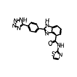 O=C(Nc1nccs1)c1cccc2[nH]c(-c3ccc(-c4nnn[nH]4)cc3)nc12